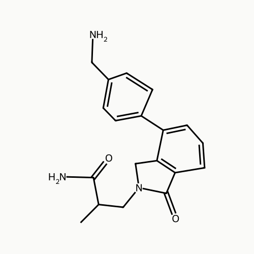 CC(CN1Cc2c(cccc2-c2ccc(CN)cc2)C1=O)C(N)=O